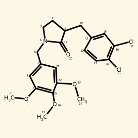 COc1cc(CN2CCC(Cc3ccc(Cl)c(Cl)c3)C2=O)cc(OC)c1OC